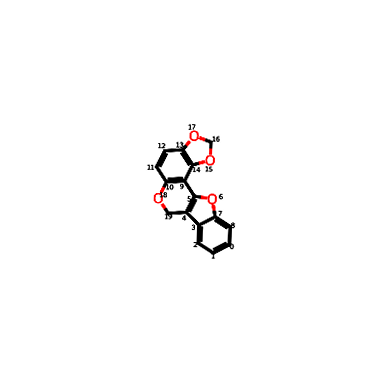 c1ccc2c3c(oc2c1)-c1c(ccc2c1OCO2)OC3